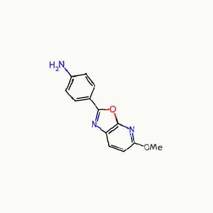 COc1ccc2nc(-c3ccc(N)cc3)oc2n1